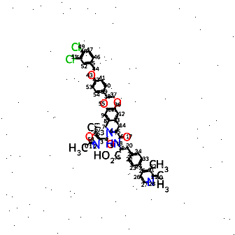 Cc1nc(C(=O)N2Cc3cc4c(cc3C[C@H]2C(=O)N[C@@H](Cc2ccc(-c3ccnc(C)c3C)cc2)C(=O)O)OC[C@H](c2ccc(OCc3ccc(Cl)c(Cl)c3)cc2)O4)c(C(F)(F)F)o1